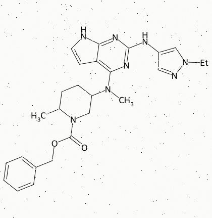 CCn1cc(Nc2nc(N(C)C3CCC(C)N(C(=O)OCc4ccccc4)C3)c3cc[nH]c3n2)cn1